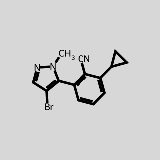 Cn1ncc(Br)c1-c1cccc(C2CC2)c1C#N